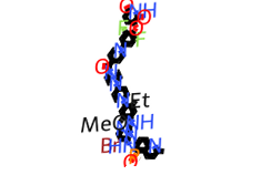 CCc1cc(Nc2ncc(Br)c(Nc3ccc4nc(C)ccc4c3P(C)(C)=O)n2)c(OC)cc1N1CCC(N2CCN(C(=O)C3CCN(c4cc(F)c(OC5CCC(=O)NC5=O)c(F)c4)CC3)CC2)CC1